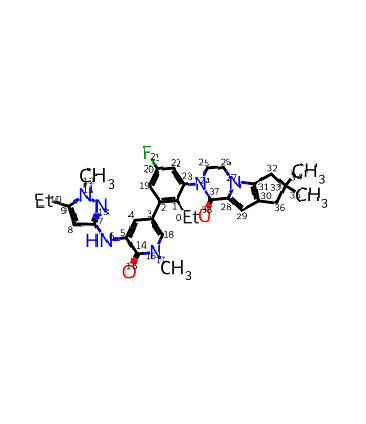 CCc1c(-c2cc(Nc3cc(CC)n(C)n3)c(=O)n(C)c2)cc(F)cc1N1CCn2c(cc3c2CC(C)(C)C3)C1=O